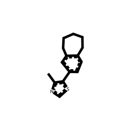 Cc1ncsc1-c1ccc2c(c1)CCCCC2